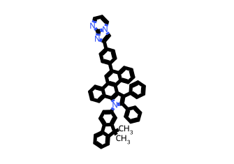 CC1(C)c2ccccc2-c2ccc(-n3c(-c4ccccc4)c(-c4ccccc4)c4c5c6ccccc6c(-c6ccc(-c7cn8cccnc8n7)cc6)cc5c5ccccc5c43)cc21